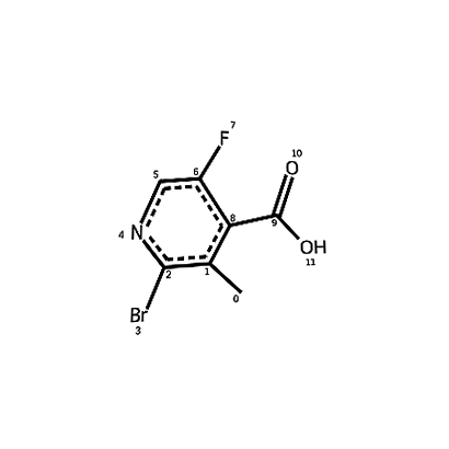 Cc1c(Br)ncc(F)c1C(=O)O